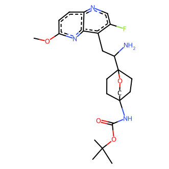 COc1ccc2ncc(F)c(CC(N)C34CCC(NC(=O)OC(C)(C)C)(CC3)CO4)c2n1